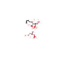 COC(=O)CC(O)(CC(=O)OC)C(=O)OC.O=C(O)CC(O)(C(=O)O)C(C(=O)O)C(=O)c1ccco1